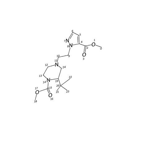 COC(=O)c1ccnn1CCN1CCN(C(=O)OC)C(C(C)(C)C)C1